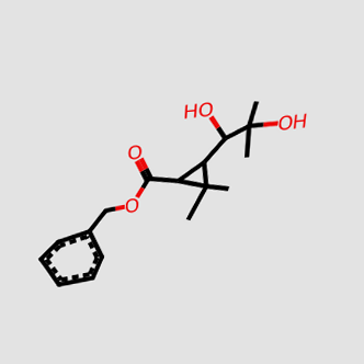 CC(C)(O)C(O)C1C(C(=O)OCc2ccccc2)C1(C)C